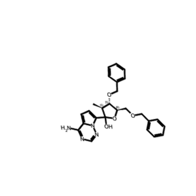 C[C@H]1[C@H](OCc2ccccc2)[C@@H](COCc2ccccc2)OC1(O)c1ccc2c(N)ncnn12